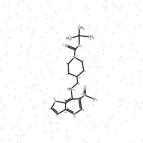 CC(C)(C)OC(=O)N1CCC(CNc2c([N+](=O)[O-])cnc3ccsc23)CC1